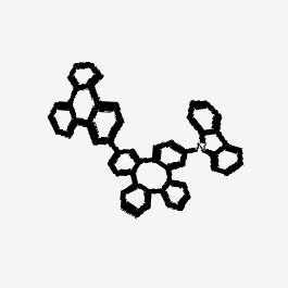 c1ccc2c(c1)-c1ccccc1-c1cc(-n3c4ccccc4c4ccccc43)ccc1-c1cc(-c3ccc4c5ccccc5c5ccccc5c4c3)ccc1-2